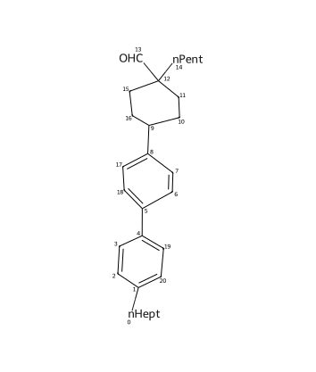 CCCCCCCc1ccc(-c2ccc(C3CCC(C=O)(CCCCC)CC3)cc2)cc1